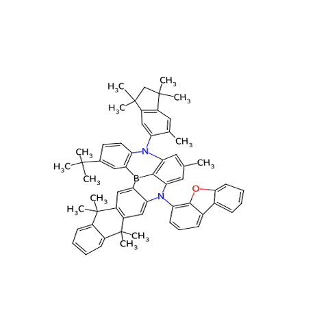 Cc1cc2c3c(c1)N(c1cccc4c1oc1ccccc14)c1cc4c(cc1B3c1cc(C(C)(C)C)ccc1N2c1cc2c(cc1C)C(C)(C)CC2(C)C)C(C)(C)c1ccccc1C4(C)C